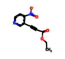 CCOC(=O)C#Cc1cnccc1[N+](=O)[O-]